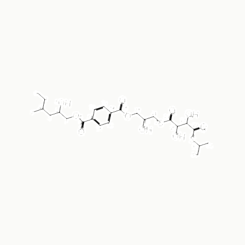 CCC(C)CC(O)COC(=O)c1ccc(C(=O)OCC(O)CSC(=O)C(O)C(O)C(=O)SC(C)C)cc1